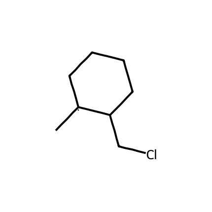 C[C]1CCCCC1CCl